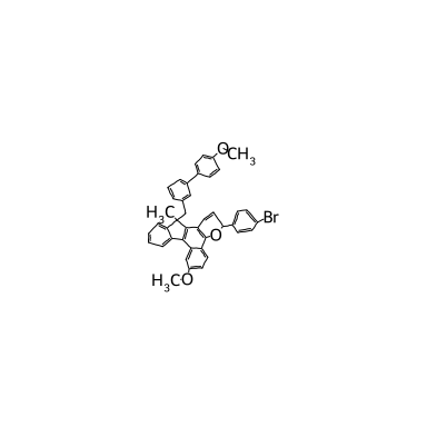 COc1ccc(-c2cccc(CC3(C)c4ccccc4-c4c3c3c(c5ccc(OC)cc45)OC(c4ccc(Br)cc4)C=C3)c2)cc1